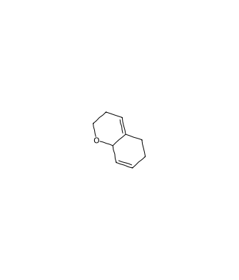 C1=CC2OCCC=C2CC1